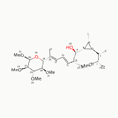 CC[C@H](OC)[C@@H](C)[C@@H]1[C@@H](C)[C@H]1[C@H](O)[C@H](C)/C=C/C=C(\C)[C@H]1O[C@H](OC)[C@H](OC)[C@@H](OC)[C@@H]1OC